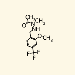 COc1cc(C(F)(F)F)ccc1CNN(C)C(C)=O